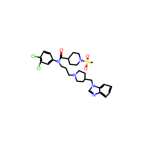 CS(=O)(=O)N1CCC(C(=O)N(CCCN2CCC(Cn3cnc4ccccc43)CC2)c2ccc(Cl)c(Cl)c2)CC1